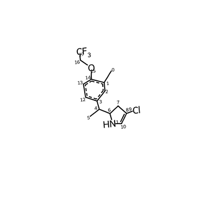 Cc1cc(C(C)C2CC(Cl)=CN2)ccc1OCC(F)(F)F